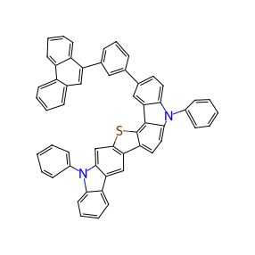 c1ccc(-n2c3ccccc3c3cc4c(cc32)sc2c4ccc3c2c2cc(-c4cccc(-c5cc6ccccc6c6ccccc56)c4)ccc2n3-c2ccccc2)cc1